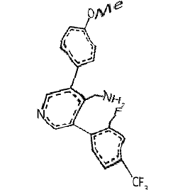 COc1ccc(-c2cncc(-c3ccc(C(F)(F)F)cc3F)c2N)cc1